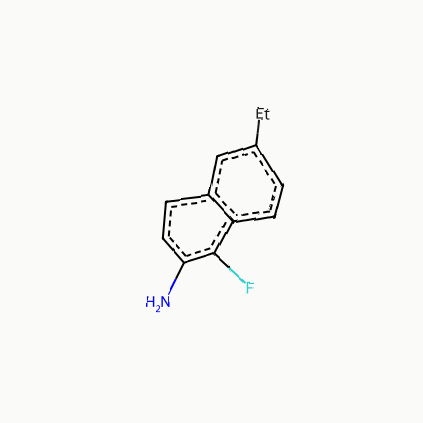 CCc1ccc2c(F)c(N)ccc2c1